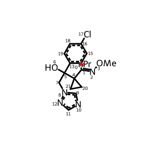 CCCC(=NOC)C1(C(O)(Cn2cncn2)c2ccc(Cl)cc2)CC1